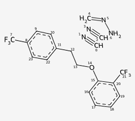 C#N.C#N.C=NN.FC(F)(F)c1ccc(CCOc2ccccc2C(F)(F)F)cc1